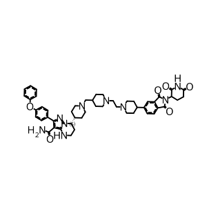 NC(=O)c1c(-c2ccc(Oc3ccccc3)cc2)nn2c1NCC[C@H]2C1CCN(CC2CCN(CCN3CCC(c4ccc5c(c4)C(=O)N(C4CCC(=O)NC4=O)C5=O)CC3)CC2)CC1